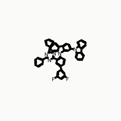 Fc1cc(F)cc(-c2ccc(-n3c4ccccc4c4ccc(-n5c6ccccc6c6ccccc65)cc43)c(-c3nc(-c4ccccc4)nc(-c4ccccc4)n3)c2)c1